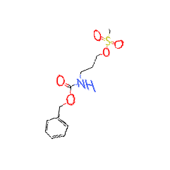 CS(=O)(=O)OCCCNC(=O)OCc1ccccc1